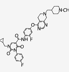 CN1CCC(CN2CCc3c(ncnc3Oc3ccc(NC(=O)c4cn(CC5CC5)c(=O)n(-c5ccc(F)cc5)c4=O)c(F)c3)C2)CC1